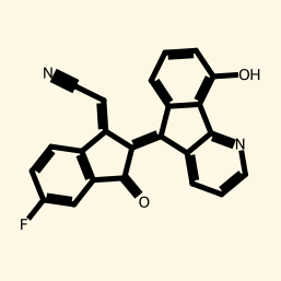 N#C/C=C1/C(=C2/c3cccnc3-c3c(O)cccc32)C(=O)c2cc(F)ccc21